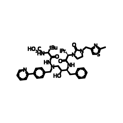 Cc1nc(CN2CCN([C@H](C(=O)N[C@@H](Cc3ccccc3)[C@@H](O)CN(Cc3ccc(-c4ccccn4)cc3)NC(=O)[C@@H](NC(=O)O)C(C)(C)C)C(C)C)C2=O)cs1